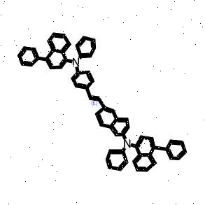 C(=C\c1ccc2cc(N(c3ccccc3)c3ccc(-c4ccccc4)c4ccccc34)ccc2c1)/c1ccc(N(c2ccccc2)c2ccc(-c3ccccc3)c3ccccc23)cc1